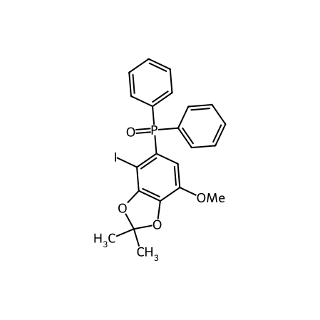 COc1cc(P(=O)(c2ccccc2)c2ccccc2)c(I)c2c1OC(C)(C)O2